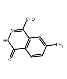 Cc1ccc2c(=O)[nH]nc(C=O)c2c1